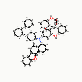 c1ccc(-c2ccccc2-c2ccc(N(c3ccc4c(c3)Oc3ccccc3C43c4ccccc4Oc4ccccc43)c3cccc4c3ccc3c5ccccc5oc43)cc2)cc1